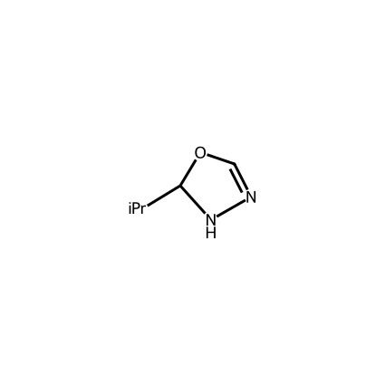 CC(C)C1NN=CO1